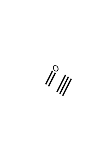 C#C.C=O